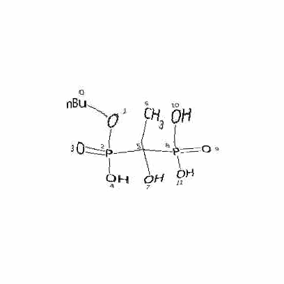 CCCCOP(=O)(O)C(C)(O)P(=O)(O)O